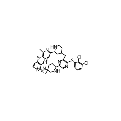 Cc1nc(C2CC(Cc3nc(C4CCC(C)(N)CN4)cnc3Sc3cccc(Cl)c3Cl)CCN2)cnc1Sc1ccnc(Cl)c1Cl